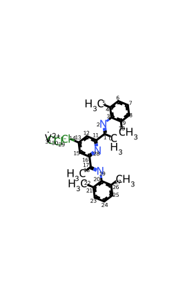 CC(=Nc1c(C)cccc1C)c1cc(Cl)cc(C(C)=Nc2c(C)cccc2C)n1.[Cl-].[Cl-].[V+2]